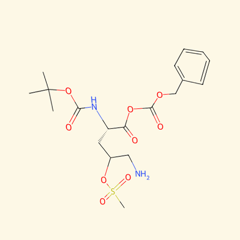 CC(C)(C)OC(=O)N[C@@H](CC(CN)OS(C)(=O)=O)C(=O)OC(=O)OCc1ccccc1